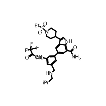 CCS(=O)(=O)N1CCC(c2c[nH]c3c(C(N)=O)cc(-c4cc(C#N)cc(CNCC(C)C)c4)cc23)CC1.O=C(O)C(F)(F)F